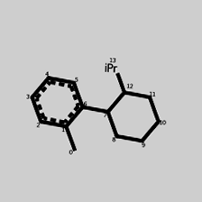 Cc1ccccc1C1CCCCC1C(C)C